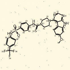 COc1ccc2c(c1)[nH]c1ncnc(N3CCN(C(=S)Nc4ccc(S(=O)(=O)Nc5ccc(C(F)(F)F)cc5)cc4)CC3)c12